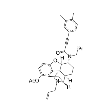 C=CCN1CC[C@@]23c4c5ccc(OC(C)=O)c4C[C@@H]1[C@@H]2CC[C@@H](N(CC(C)C)C(=O)C#Cc1ccc(C)c(C)c1)[C@@H]3O5